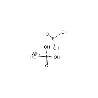 O=P(O)(O)O.OP(O)O.[AlH3]